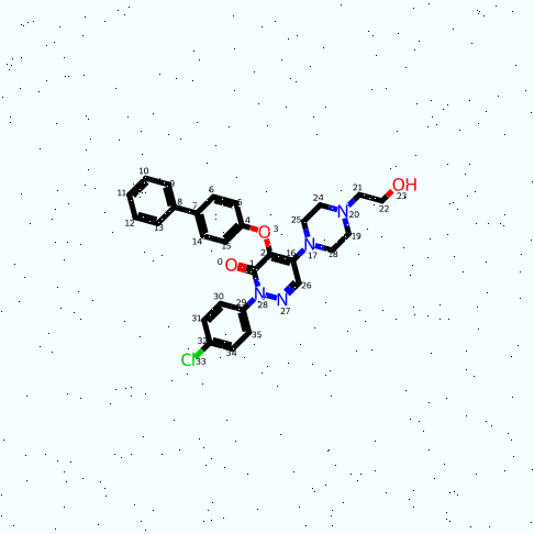 O=c1c(Oc2ccc(-c3ccccc3)cc2)c(N2CCN(CCO)CC2)cnn1-c1ccc(Cl)cc1